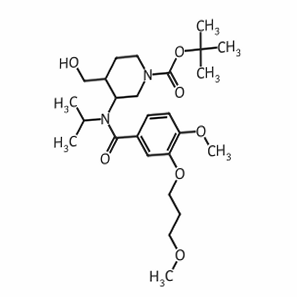 COCCCOc1cc(C(=O)N(C(C)C)C2CN(C(=O)OC(C)(C)C)CCC2CO)ccc1OC